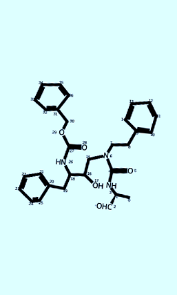 C[C@@H]([C]=O)NC(=O)N(CCc1ccccc1)CC(O)C(Cc1ccccc1)NC(=O)OCc1ccccc1